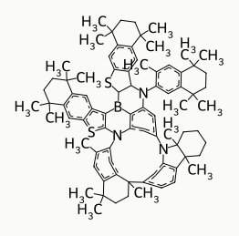 Cc1cc2c3cc1N1c4cc(cc5c4B(c4c1sc1cc6c(cc41)C(C)(C)CCC6(C)C)C1Sc4cc6c(cc4C1N5c1cc4c(cc1C)C(C)(C)CCC4(C)C)C(C)(C)CCC6(C)C)N1c4cc(ccc4C4(C)CCCCC14C)C3(C)CCC2(C)C